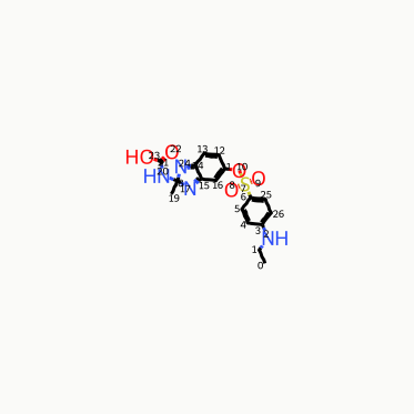 CCNc1ccc(S(=O)(=O)Oc2ccc3c(c2)=NC(C)(NC(=O)O)N=3)cc1